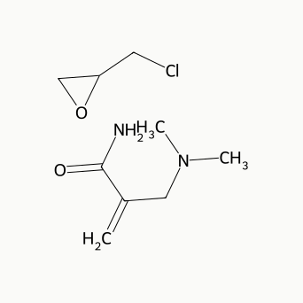 C=C(CN(C)C)C(N)=O.ClCC1CO1